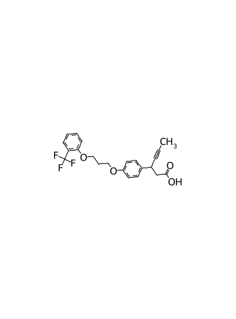 CC#CC(CC(=O)O)c1ccc(OCCCOc2ccccc2C(F)(F)F)cc1